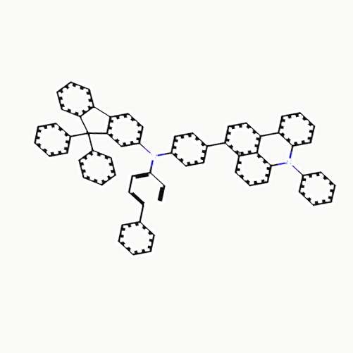 C=C/C(=C\C=C\c1ccccc1)N(c1ccc(-c2ccc3c4c(cccc24)N(c2ccccc2)c2ccccc2-3)cc1)c1ccc2c(c1)C(c1ccccc1)(c1ccccc1)c1ccccc1-2